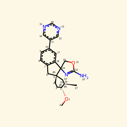 CO[C@@H]1CC[C@]2(Cc3ccc(-c4cncnc4)cc3C23COC(N)=N3)C[C@H]1C